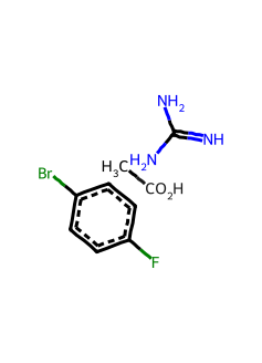 CC(=O)O.Fc1ccc(Br)cc1.N=C(N)N